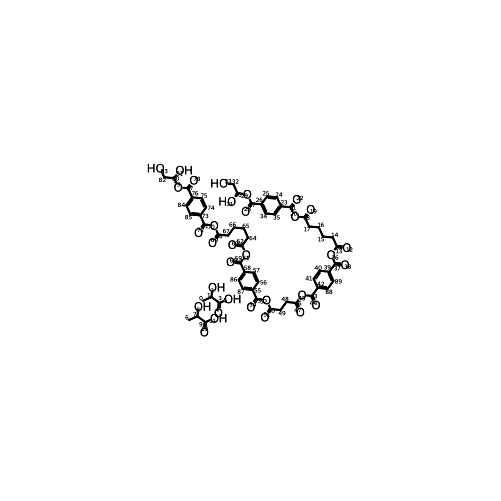 CC(O)C(=O)O.CC(O)C(=O)O.O=C(CCCCC(=O)OC(=O)c1ccc(C(=O)OC(O)CO)cc1)OC(=O)c1ccc(C(=O)OC(=O)CCC(=O)OC(=O)c2ccc(C(=O)OC(=O)CCCCC(=O)OC(=O)c3ccc(C(=O)OC(O)CO)cc3)cc2)cc1